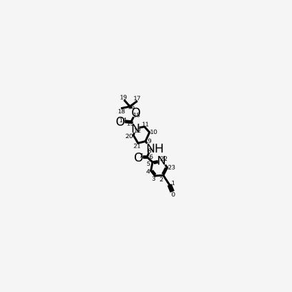 C#Cc1ccc(C(=O)NC2CCN(C(=O)OC(C)(C)C)CC2)nc1